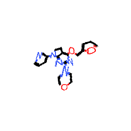 c1cncc(N2CCc3c(OCC4CCCO4)nc(N4CCOCC4)nc32)c1